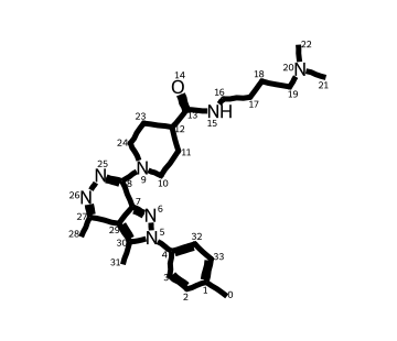 Cc1ccc(-n2nc3c(N4CCC(C(=O)NCCCCN(C)C)CC4)nnc(C)c3c2C)cc1